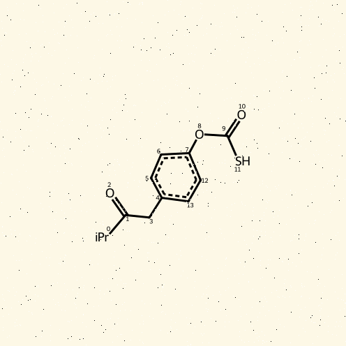 CC(C)C(=O)Cc1ccc(OC(=O)S)cc1